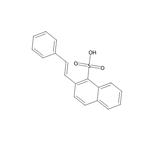 O=S(=O)(O)c1c(C=Cc2ccccc2)ccc2ccccc12